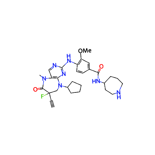 C#CC1(F)CN(C2CCCC2)c2nc(Nc3ccc(C(=O)NC4CCCNCC4)cc3OC)ncc2N(C)C1=O